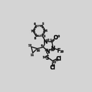 O=C1N(c2ccccc2)C(C2CC2)N(SC(Cl)Cl)N1F